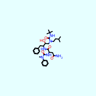 CC(C)CCN(CC(O)C(Cc1ccccc1)NC(=O)C(CC(N)=O)NC(=O)N(C)c1ccccc1)C(=O)NC(C)(C)C